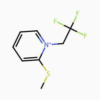 CSc1cccc[n+]1CC(F)(F)F